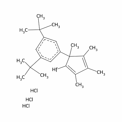 CC1=C(C)C(C)(c2cc(C(C)(C)C)cc(C(C)(C)C)c2)[C]([Hf])=C1C.Cl.Cl.Cl